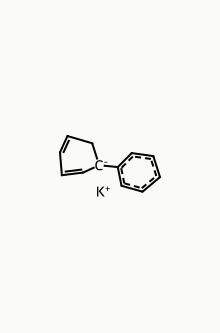 C1=CC[C-](c2ccccc2)C=C1.[K+]